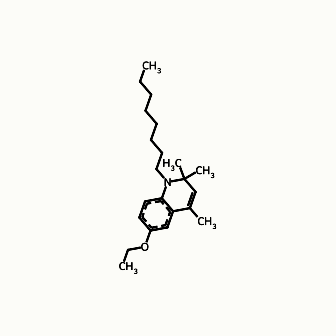 CCCCCCCCN1c2ccc(OCC)cc2C(C)=CC1(C)C